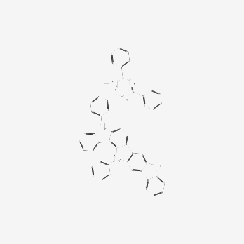 c1ccc(C2=NC(c3ccccc3)NC(c3cccc(-n4c5ccccc5c5c4ccc4c6cc7oc8ccccc8c7cc6n(-c6ccccc6)c45)c3)N2)cc1